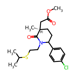 COC(=O)C[C@@]1(C)CCC(c2ccc(Cl)cc2)N(CCSC(C)C)C1=O